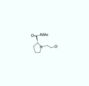 CNC(=O)[C@@H]1CCCN1CC[O]